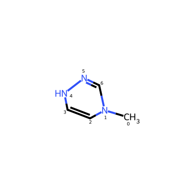 CN1C=CNN=C1